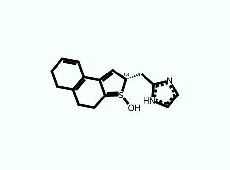 OS1=C2CCC3=C(C=CCC3)C2=C[C@@H]1Cc1ncc[nH]1